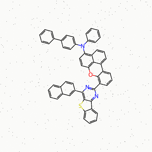 c1ccc(-c2ccc(N(c3ccccc3)c3ccc4c5c(cccc35)-c3cccc(-c5nc(-c6ccc7ccccc7c6)c6sc7ccccc7c6n5)c3O4)cc2)cc1